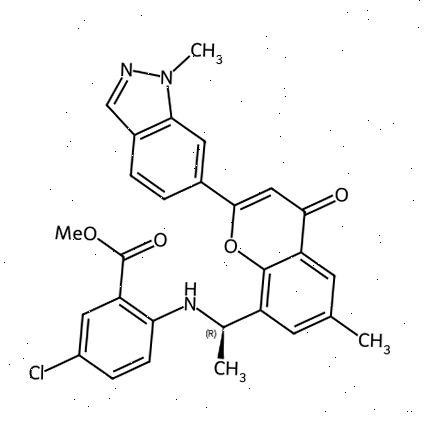 COC(=O)c1cc(Cl)ccc1N[C@H](C)c1cc(C)cc2c(=O)cc(-c3ccc4cnn(C)c4c3)oc12